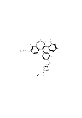 O=C(O)c1ccc2c(c1Cl)CCCC(c1ccc(Cl)cc1Cl)=C2c1ccc(CC2CN(CCCF)C2)cc1